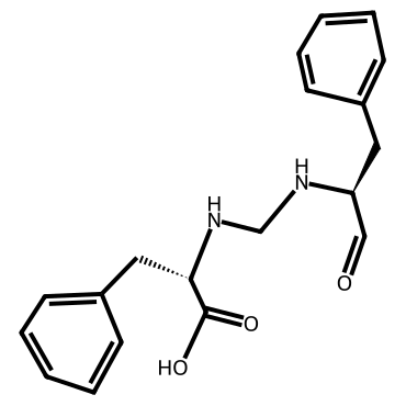 O=C[C@H](Cc1ccccc1)NCN[C@@H](Cc1ccccc1)C(=O)O